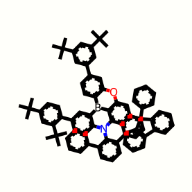 CC(C)(C)c1cc(-c2ccc3c(c2)Oc2cc(C4(c5ccccc5)c5ccccc5-c5ccccc54)cc4c2B3c2cc(-c3ccc(C(C)(C)C)cc3C(C)(C)C)ccc2N4c2c(-c3ccccc3)cccc2-c2ccccc2)cc(C(C)(C)C)c1